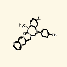 CN1C(=O)C(Cc2ccc3ccccc3c2)CN(c2ccc(O)cc2)c2cc(Cl)ccc21